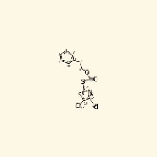 O=C(OCCc1ccccc1)Sc1nc(Cl)c(Cl)s1